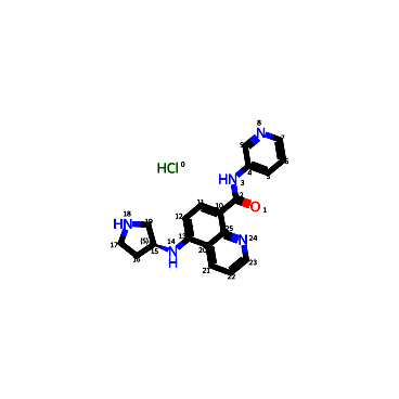 Cl.O=C(Nc1cccnc1)c1ccc(N[C@H]2CCNC2)c2cccnc12